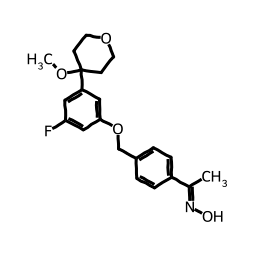 COC1(c2cc(F)cc(OCc3ccc(/C(C)=N/O)cc3)c2)CCOCC1